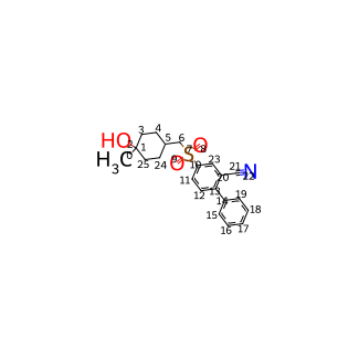 CC1(O)CCC(CS(=O)(=O)c2ccc(-c3ccccc3)c(C#N)c2)CC1